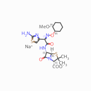 CO[C@@H]1CCCC[C@H]1O/N=C(\C(=O)N[C@H]1C(=O)N2[C@@H]1SC(C)(C)[C@@H]2C(=O)[O-])c1csc(N)n1.[Na+]